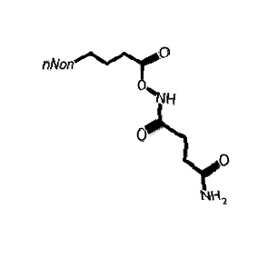 CCCCCCCCCCCCC(=O)ONC(=O)CCC(N)=O